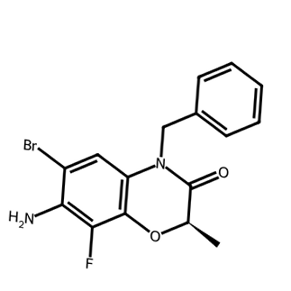 C[C@H]1Oc2c(cc(Br)c(N)c2F)N(Cc2ccccc2)C1=O